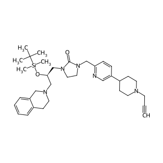 C#CCN1CCC(c2ccc(CN3CCN(C[C@@H](CN4CCc5ccccc5C4)O[Si](C)(C)C(C)(C)C)C3=O)nc2)CC1